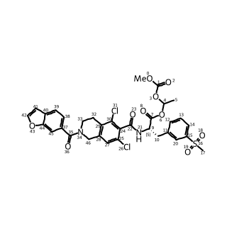 COC(=O)OC(C)OC(=O)[C@H](Cc1cccc(S(C)(=O)=O)c1)NC(=O)c1c(Cl)cc2c(c1Cl)CCN(C(=O)c1ccc3ccoc3c1)C2